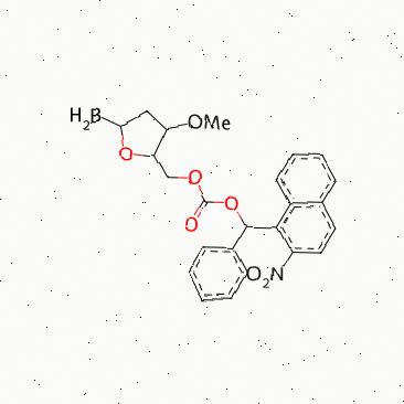 BC1CC(OC)C(COC(=O)OC(c2ccccc2)c2c([N+](=O)[O-])ccc3ccccc23)O1